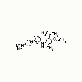 CCOc1cc(C)c(Nc2ccnc(N3CCC(n4cnnc4)CC3)n2)cc1C(C)C